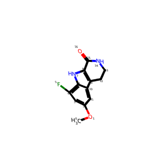 COc1cc(F)c2[nH]c3c(c2c1)CCNC3=O